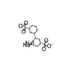 O=S(=O)([O-])c1cccc(-c2cccc(S(=O)(=O)[O-])c2)c1.[Na+].[Na+]